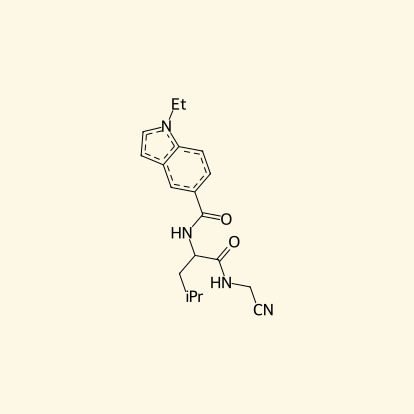 CCn1ccc2cc(C(=O)NC(CC(C)C)C(=O)NCC#N)ccc21